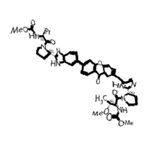 COC(=O)N[C@H](C(=O)N1CCC[C@H]1c1nc2ccc(-c3ccc4c(=O)c5cc(-c6cnc([C@@H]7CCCN7C(=O)[C@@H](NC(=O)OC)[C@@H](C)OC)[nH]6)ccc5oc4c3)cc2[nH]1)C(C)C